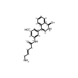 Cl.NCC=CCC(=O)Nc1cccc(-c2n[nH]c(=O)c3ccccc23)c1